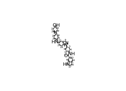 O=C(Nc1ccc(-n2ncc3cc(Nc4ccc(N5CCC(O)CC5)cc4)ccc32)cc1)c1ccc2cc[nH]c2c1